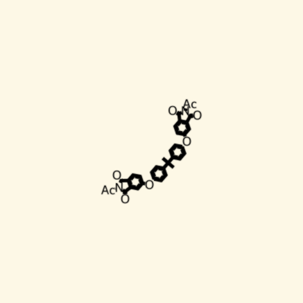 CC(=O)N1C(=O)c2ccc(Oc3ccc(C(C)(C)c4ccc(Oc5ccc6c(c5)C(=O)N(C(C)=O)C6=O)cc4)cc3)cc2C1=O